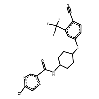 N#Cc1ccc(OC2CCC(NC(=O)c3cnc(Cl)cn3)CC2)cc1C(F)(F)F